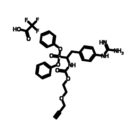 C#CCOCCOC(=O)NC(Cc1ccc(NC(=N)N)cc1)P(=O)(Oc1ccccc1)Oc1ccccc1.O=C(O)C(F)(F)F